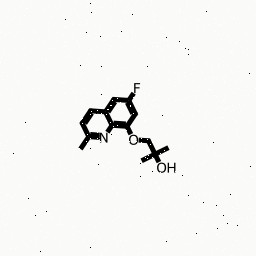 Cc1ccc2cc(F)cc(OCC(C)(C)O)c2n1